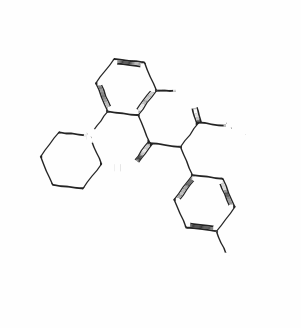 C=C(c1c(C)cccc1N1CCCCC1)C(C(N)=O)c1ccc(C(=O)OCC)cc1